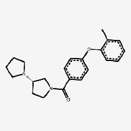 Cc1ccccc1Oc1ccc(C(=O)N2CC[C@H](N3CCCC3)C2)cc1